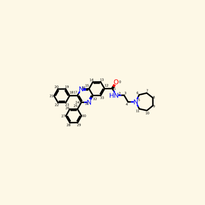 O=C(NCCN1CCCCCC1)c1ccc2nc(-c3ccccc3)c(-c3ccccc3)nc2c1